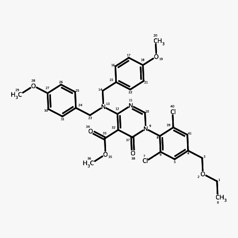 CCOCc1cc(Cl)c(-n2cnc(N(Cc3ccc(OC)cc3)Cc3ccc(OC)cc3)c(C(=O)OC)c2=O)c(Cl)c1